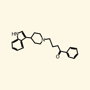 O=C(CCCN1CCC(c2c[nH]c3ccccc23)CC1)c1ccccc1